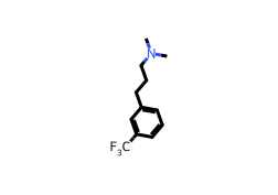 CN(C)CCCc1cccc(C(F)(F)F)c1